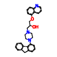 OC(COc1cccc2ncccc12)CN1CCN(c2cccc3c2-c2ccccc2C3)CC1